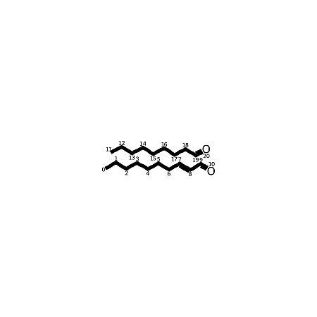 CCCCCCCC=CC=O.CCCCCCCCC=O